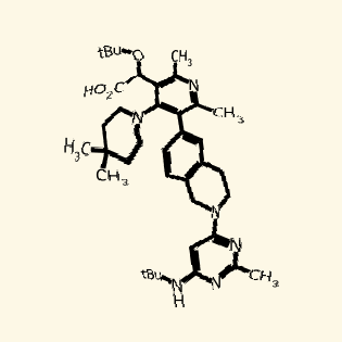 Cc1nc(NC(C)(C)C)cc(N2CCc3cc(-c4c(C)nc(C)c([C@H](OC(C)(C)C)C(=O)O)c4N4CCC(C)(C)CC4)ccc3C2)n1